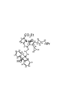 CCOC(=O)c1csc(CC(CCCC(C)(C)[Si](O)(c2ccccc2)c2ccccc2)c2noc(C3CC(CC(C)C)C3)c2C2CC2)n1